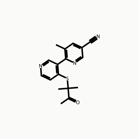 CC(=O)C(C)(C)Sc1ccncc1-c1ncc(C#N)cc1C